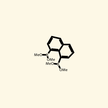 COB(OC)c1cccc2cccc(B(OC)OC)c12